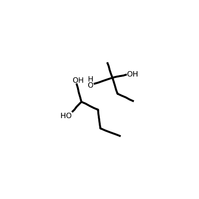 CCC(C)(O)O.CCCC(O)O